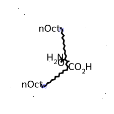 CCCCCCCC/C=C\CCCCCCCCCCC(CC(C)C(CCCCCCCCCC/C=C\CCCCCCCC)C(N)=O)C(=O)O